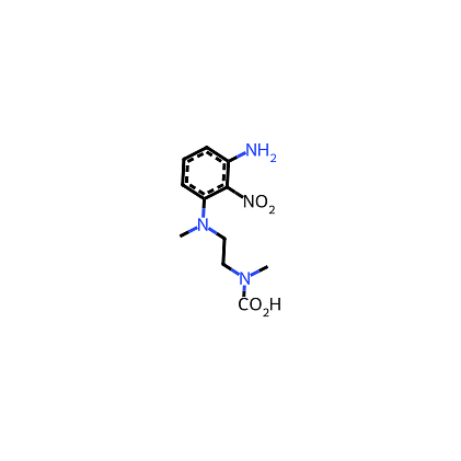 CN(CCN(C)c1cccc(N)c1[N+](=O)[O-])C(=O)O